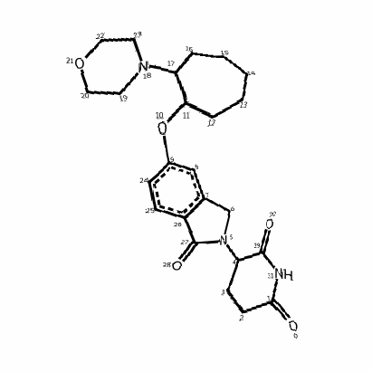 O=C1CCC(N2Cc3cc(OC4CCCCCC4N4CCOCC4)ccc3C2=O)C(=O)N1